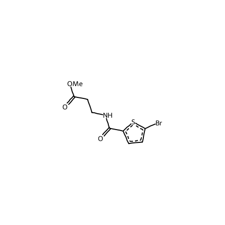 COC(=O)CCNC(=O)c1ccc(Br)s1